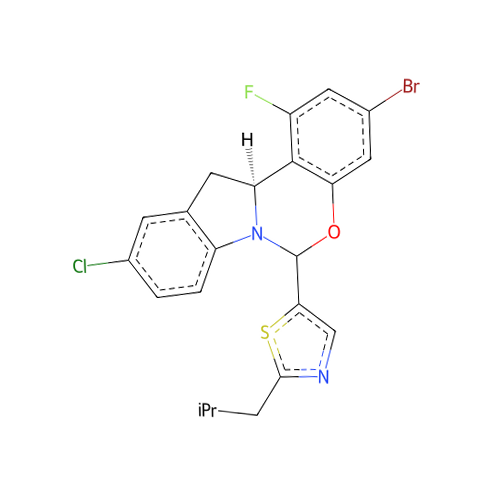 CC(C)Cc1ncc(C2Oc3cc(Br)cc(F)c3[C@@H]3Cc4cc(Cl)ccc4N23)s1